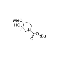 COC1CCN(C(=O)OC(C)(C)C)CC1(C)O